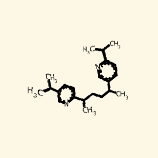 CC(C)c1ccc(C(C)CCC(C)c2ccc(C(C)C)nc2)nc1